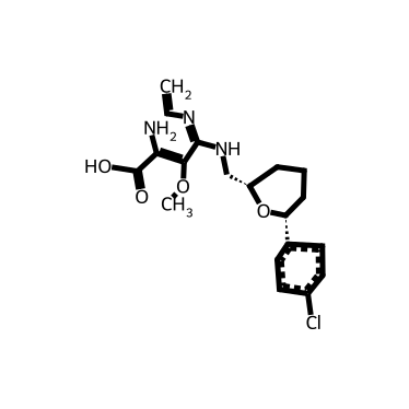 C=C/N=C(NC[C@@H]1CCC[C@H](c2ccc(Cl)cc2)O1)\C(OC)=C(/N)C(=O)O